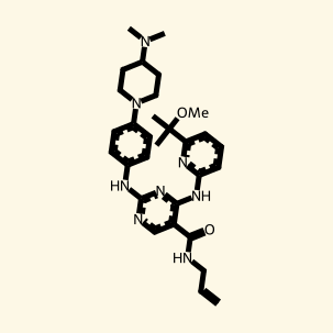 C=CCNC(=O)c1cnc(Nc2ccc(N3CCC(N(C)C)CC3)cc2)nc1Nc1cccc(C(C)(C)OC)n1